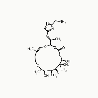 CC(=Cc1coc(CN)n1)C1C/C=C(/C)CCCC(C)C(O)C(C)C(=O)C(C)(C)C(O)CC(=O)O1